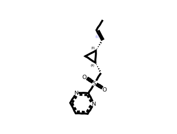 C/C=C/[C@H]1C[C@H]1CS(=O)(=O)c1ncccn1